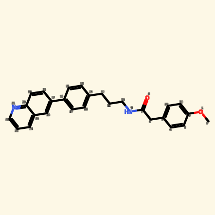 COc1ccc(CC(=O)NCCCc2ccc(-c3ccc4ncccc4c3)cc2)cc1